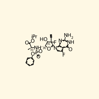 C#CC1(F)[C@@H](O)[C@@H](COP(=O)(N[C@@H](C)C(=O)OC(C)C)Oc2ccccc2)O[C@H]1n1cc(F)c2c(=O)[nH]c(N)nc21